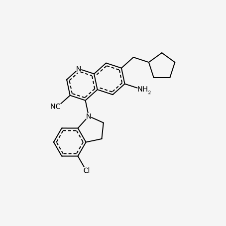 N#Cc1cnc2cc(CC3CCCC3)c(N)cc2c1N1CCc2c(Cl)cccc21